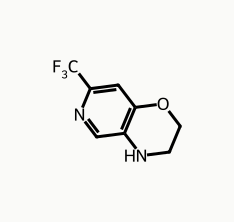 FC(F)(F)c1cc2c(cn1)NCCO2